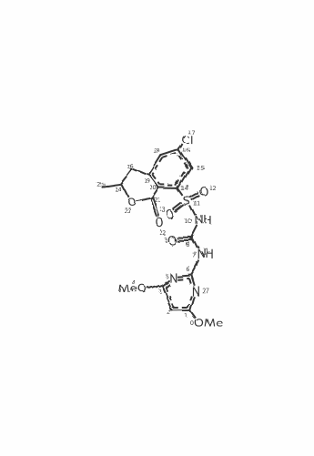 COc1cc(OC)nc(NC(=O)NS(=O)(=O)c2cc(Cl)cc3c2C(=O)OC(C)C3)n1